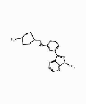 Cn1nc(-c2cccc(NCC3CCC(N)CC3)n2)c2cccnc21